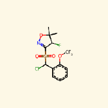 CC1(C)ON=C(S(=O)(=O)C(Cl)c2ccccc2OC(F)(F)F)C1F